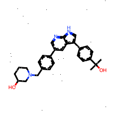 CC(C)(O)c1ccc(-c2c[nH]c3ncc(-c4ccc(CN5CCCC(O)C5)cc4)cc23)cc1